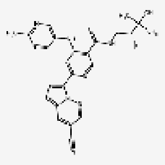 Cc1ncc(Nc2cc(-c3ccc4cc(C#N)cnn34)ncc2C(=O)NC[C@@H](F)C(C)(C)O)cn1